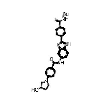 CCC(C)NC(=O)c1ccc(-c2nc3cc(NC(=O)c4ccc(N5CCC(O)C5)cc4)ccc3[nH]2)cc1